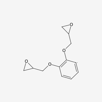 [c]1cccc(OCC2CO2)c1OCC1CO1